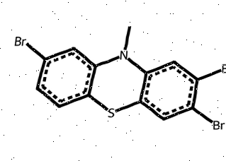 CN1c2cc(Br)ccc2Sc2cc(Br)c(Br)cc21